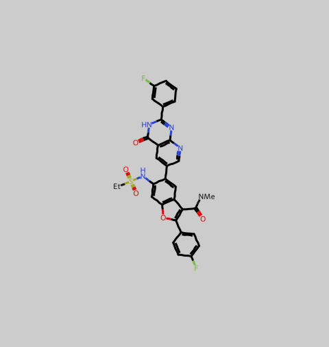 CCS(=O)(=O)Nc1cc2oc(-c3ccc(F)cc3)c(C(=O)NC)c2cc1-c1cnc2nc(-c3cccc(F)c3)[nH]c(=O)c2c1